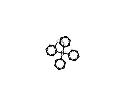 Cc1ccccc1[N+](c1ccccc1)(c1ccccc1)c1ccccc1